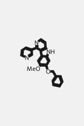 COc1cc2c(cc1OCc1ccccc1)[nH]c1ccnc(-c3cccnc3)c12